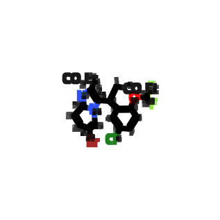 CCOC(=O)CC(c1cc(Cl)ccc1OC(F)F)c1c(C(=O)OCC)nc2ccc(Br)cn12